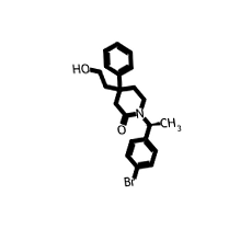 C[C@@H](c1ccc(Br)cc1)N1CCC(CCO)(c2ccccc2)CC1=O